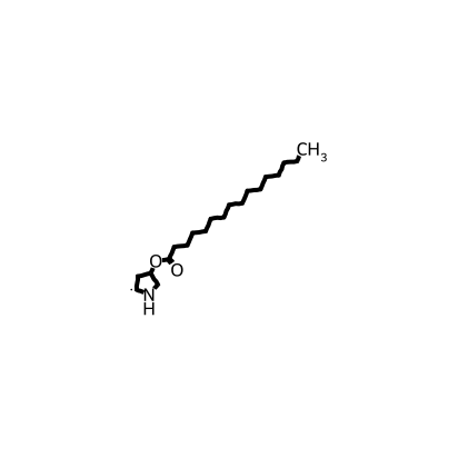 CCCCCCCCCCCCCCCC(=O)OC1C[CH]NC1